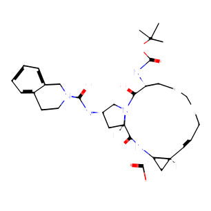 CC(C)(C)OC(=O)N[C@H]1CCCCCC=C[C@@H]2C[C@@]2(C(=O)O)NC(=O)[C@@H]2C[C@@H](NC(=O)N3CCc4ccccc4C3)CN2C1=O